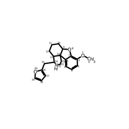 COc1cccc2c1OC1CCCC3C(Cc4ccco4)NCCC213